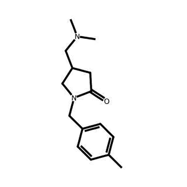 Cc1ccc(CN2CC(CN(C)C)CC2=O)cc1